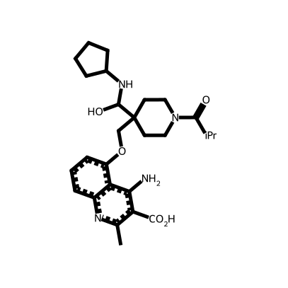 Cc1nc2cccc(OCC3(C(O)NC4CCCC4)CCN(C(=O)C(C)C)CC3)c2c(N)c1C(=O)O